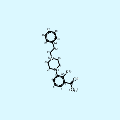 O=C(O)c1cccc(N2CCN(CCc3ccccc3)CC2)c1F